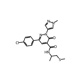 CSCC(C)NC(=O)c1cc(-c2ccc(Cl)cc2)nn(-c2cnn(C)c2)c1=O